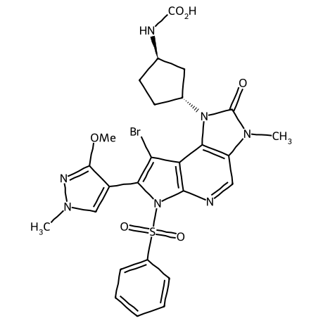 COc1nn(C)cc1-c1c(Br)c2c(ncc3c2n([C@@H]2CC[C@@H](NC(=O)O)C2)c(=O)n3C)n1S(=O)(=O)c1ccccc1